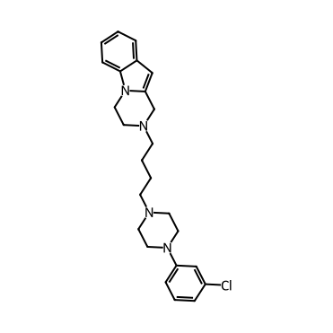 Clc1cccc(N2CCN(CCCCN3CCn4c(cc5ccccc54)C3)CC2)c1